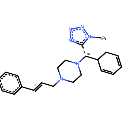 CC(C)n1nnnc1[C@H](C1C=CC=CC1)N1CCN(C/C=C/c2ccccc2)CC1